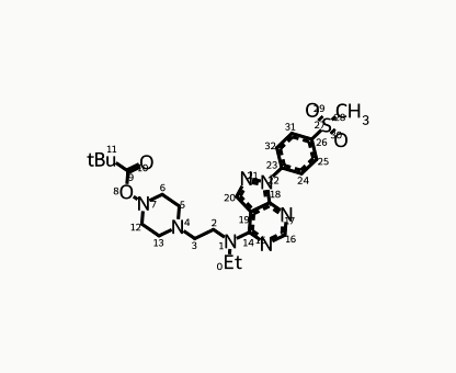 CCN(CCN1CCN(OC(=O)C(C)(C)C)CC1)c1ncnc2c1cnn2-c1ccc(S(C)(=O)=O)cc1